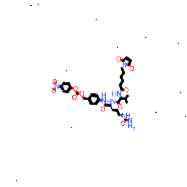 CC(C)C(NC(=O)CCCCCN1C(=O)C=CC1=O)C(=O)N[C@@H](CCCNC(N)=O)C(=O)Nc1ccc(COC(=O)Oc2ccc([N+](=O)[O-])cc2)cc1